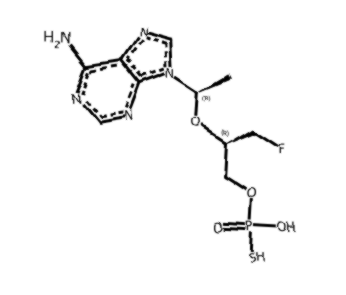 C[C@@H](O[C@@H](CF)COP(=O)(O)S)n1cnc2c(N)ncnc21